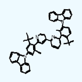 Cc1cc(-n2c3ccccc3c3ccccc32)cc(C(C)(C)C)c1-c1cc(-c2cccc(-c3c(C(C)(C)C)ccc(-n4c5ccccc5c5ccccc54)c3C)n2)ccn1